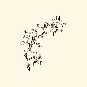 N#Cc1ncc(N2C(=O)C3(CCC3)N(c3ccc(O[C@H]4C[C@H]5CC[C@@H](C4)N5)cc3)C2=S)cc1C(F)(F)F